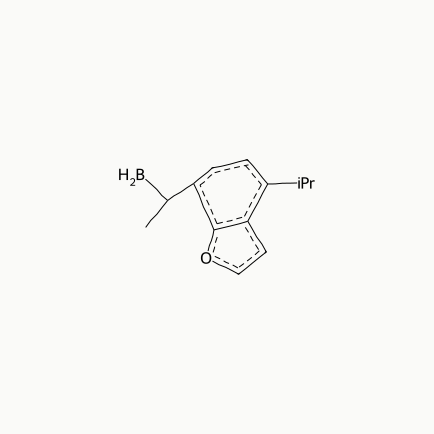 BC(C)c1ccc(C(C)C)c2ccoc12